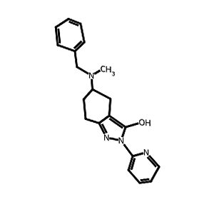 CN(Cc1ccccc1)C1CCc2nn(-c3ccccn3)c(O)c2C1